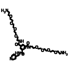 NCCOCCOCCOCCOCCNC(=O)c1cc(C(=O)NCCOCCOCCOCCOCCN)cc(C(=O)NCc2ccncc2)c1